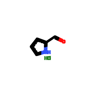 Cl.O=Cc1ccc[nH]1